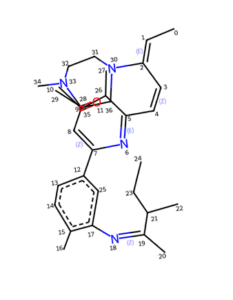 C\C=C(/C=C\C(=N\C(=C/C(C)=O)c1ccc(C)c(/N=C(/C)C(C)CC)c1)C(C)CC)N1CCN(C)CC1